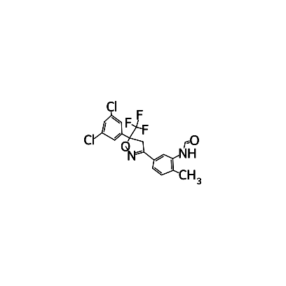 Cc1ccc(C2=NOC(c3cc(Cl)cc(Cl)c3)(C(F)(F)F)C2)cc1NC=O